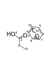 CCC(=O)O.c1cc2ccc1CO2